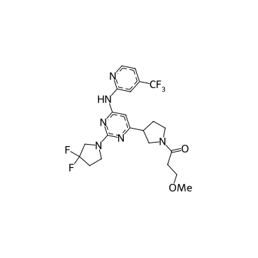 COCCC(=O)N1CCC(c2cc(Nc3cc(C(F)(F)F)ccn3)nc(N3CCC(F)(F)C3)n2)C1